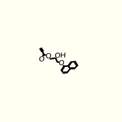 C#CC(=O)OCC(O)COc1cccc2ccccc12